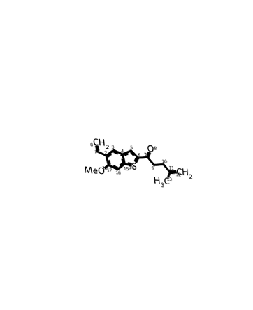 C=Cc1cc2cc(C(=O)CCC(=C)C)sc2cc1OC